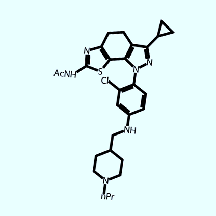 CCCN1CCC(CNc2ccc(-n3nc(C4CC4)c4c3-c3sc(NC(C)=O)nc3CC4)c(Cl)c2)CC1